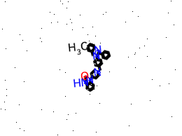 Cc1ccc2c(c1)=CN(c1ccc(CN3CCC(n4c(=O)[nH]c5ccccc54)CC3)cc1)C(c1ccccc1)N=2